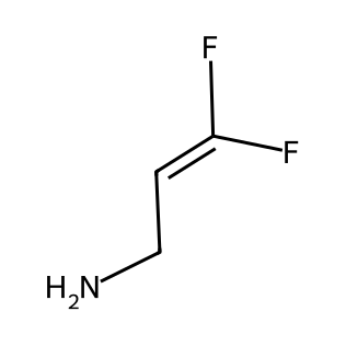 NCC=C(F)F